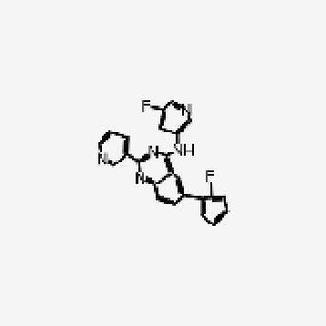 Fc1cncc(Nc2nc(-c3cccnc3)nc3ccc(-c4ccccc4F)cc23)c1